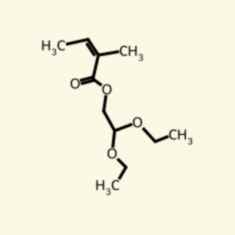 CC=C(C)C(=O)OCC(OCC)OCC